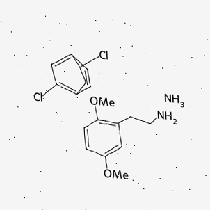 COc1ccc(OC)c(CCN)c1.Clc1cc2ccc1CC2Cl.N